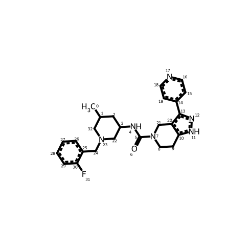 CC1CC(NC(=O)N2CCc3[nH]nc(-c4ccncc4)c3C2)CN(Cc2ccccc2F)C1